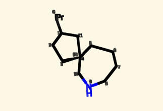 CC(C)C1CC[C@]2(CCCCNC2)C1